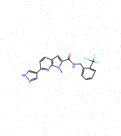 Cn1c(C(=O)NCc2ccccc2C(F)(F)F)cc2ccc(-c3cn[nH]c3)nc21